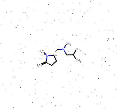 C=C1CC[C@@H](CN(C)CC(C)C)N1C